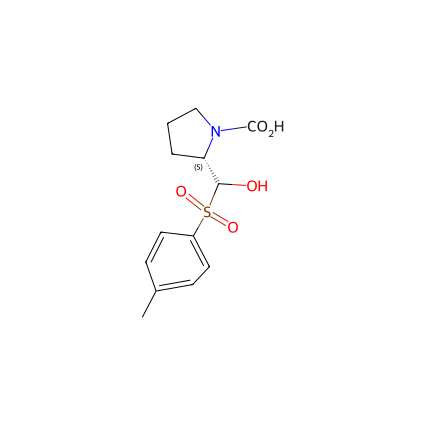 Cc1ccc(S(=O)(=O)C(O)[C@@H]2CCCN2C(=O)O)cc1